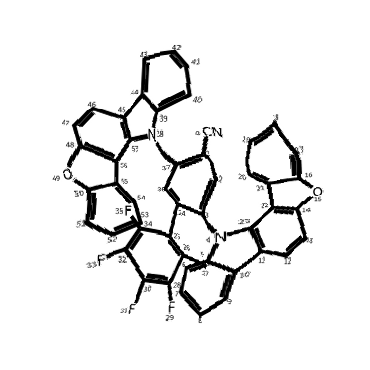 N#Cc1cc(-n2c3ccccc3c3ccc4oc5ccccc5c4c32)c(-c2c(F)c(F)c(F)c(F)c2F)cc1-n1c2ccccc2c2ccc3oc4ccccc4c3c21